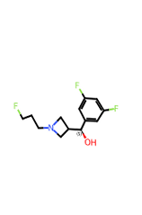 O[C@H](c1cc(F)cc(F)c1)C1CN(CCCF)C1